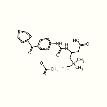 CC(=O)[O-].C[N+](C)(C)CC(CC(=O)O)NC(=O)Nc1ccc(C(=O)c2ccccc2)cc1